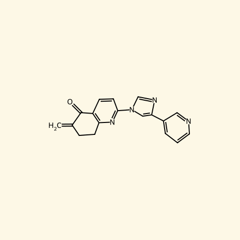 C=C1CCc2nc(-n3cnc(-c4cccnc4)c3)ccc2C1=O